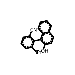 CC(C)c1cccc(C#N)c1-c1c(O)ccc2ccccc12